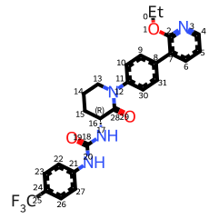 CCOc1ncccc1-c1ccc(N2CCC[C@@H](NC(=O)Nc3ccc(C(F)(F)F)cc3)C2=O)cc1